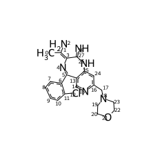 C/C(N)=C1\N=C(c2ccccc2Cl)c2cnc(CN3CCOCC3)cc2NC1=N